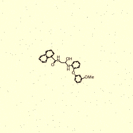 COc1cccc(Oc2ccccc2NC(O)CNC(=O)c2cccc3ccccc23)c1